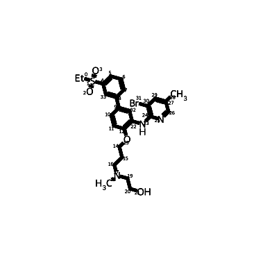 CCS(=O)(=O)c1cccc(-c2ccc(OCCCN(C)CCO)c(Nc3ncc(C)cc3Br)c2)c1